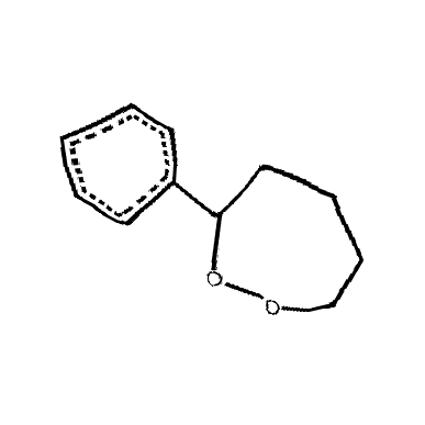 c1ccc(C2CCCCOO2)cc1